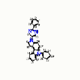 c1ccc(-c2ncc(-n3ccc4c5c6ccccc6n(-c6ccccc6)c5ccc43)cn2)cc1